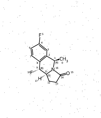 C[C@@H]1c2cc(F)ccc2[C@@H](F)[C@@H]2CCC(=O)N12